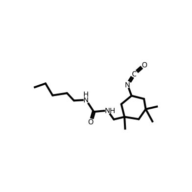 CCCCCNC(=O)NCC1(C)CC(N=C=O)CC(C)(C)C1